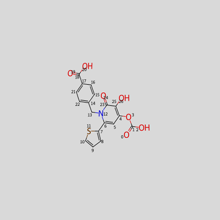 O=C(O)Oc1cc(-c2cccs2)n(Cc2ccc(C(=O)O)cc2)c(=O)c1O